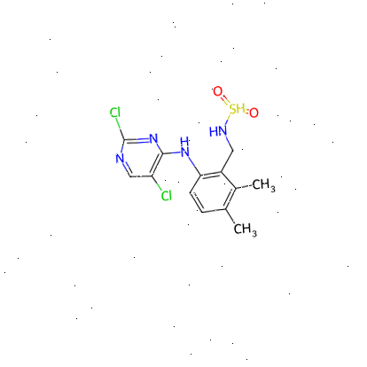 Cc1ccc(Nc2nc(Cl)ncc2Cl)c(CN[SH](=O)=O)c1C